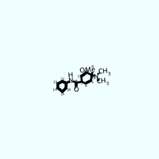 COC1(N(C)C)C=CC(C(=O)Nc2ccccc2)C=C1